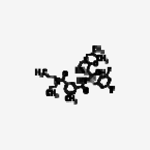 CCCN(CCC)C(=O)c1cc(C)cc(C(=O)N[C@@H](Cc2cc(F)cc(F)c2)[C@H](O)[C@@H]2NCCN(CC(C)C)C2=O)c1